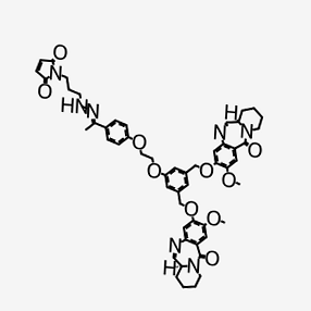 COc1cc2c(cc1OCc1cc(COc3cc4c(cc3OC)C(=O)N3CCCC[C@H]3C=N4)cc(OCCOc3ccc(/C(C)=N/NCCCN4C(=O)C=CC4=O)cc3)c1)N=C[C@@H]1CCCCN1C2=O